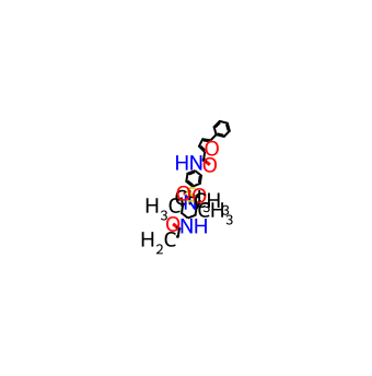 C=CC(=O)NC1CC(C)(C)N(S(=O)(=O)c2ccc(NC(=O)c3ccc(-c4ccccc4)o3)cc2)C(C)(C)C1